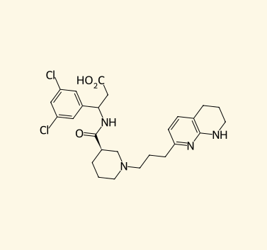 O=C(O)CC(NC(=O)[C@@H]1CCCN(CCCc2ccc3c(n2)NCCC3)C1)c1cc(Cl)cc(Cl)c1